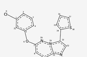 Clc1cccc(Oc2ccc3ncc(-c4cccs4)n3n2)c1